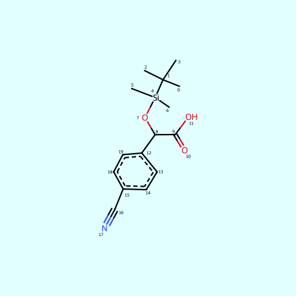 CC(C)(C)[Si](C)(C)OC(C(=O)O)c1ccc(C#N)cc1